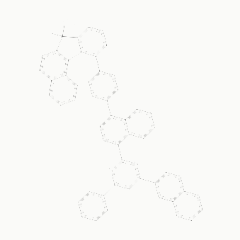 CC1(C)c2cccc(-c3ccc(-c4ccc(-c5nc(-c6ccccc6)cc(-c6ccc7ccccc7c6)n5)c5ccccc45)cc3)c2-c2c1ccc1ccccc21